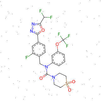 O=C(N1CCS(=O)(=O)CC1)N(Cc1ccc(-c2nnc(C(F)F)o2)cc1F)c1cccc(OC(F)(F)F)c1